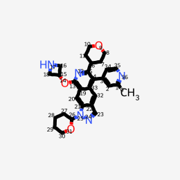 Cc1cc(-c2c(C3CCOCC3)nc(OC3CNC3)c3cc4c(cnn4C4CCCCO4)cc23)ccn1